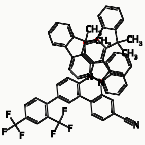 CC1(C)c2ccccc2-c2ccc3c(c21)c1ccccc1n3-c1ccc(-c2ccc(C(F)(F)F)cc2C(F)(F)F)cc1-c1ccc(C#N)cc1-n1c2ccccc2c2c3c(ccc21)-c1ccccc1C3(C)C